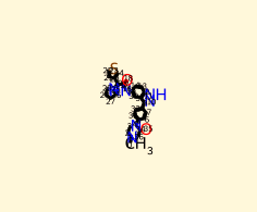 CN1CCN(c2ccc(-c3n[nH]c4ccc(NC(=O)C(c5ccsc5)N5CCCC5)cc34)cc2)C(=O)C1